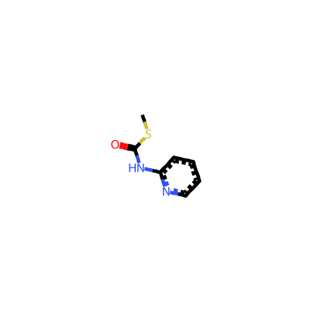 CSC(=O)Nc1ccccn1